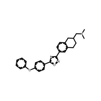 CN(C)CC1CCc2cc(-c3noc(-c4ccc(Oc5ccccc5)cc4)n3)ccc2C1